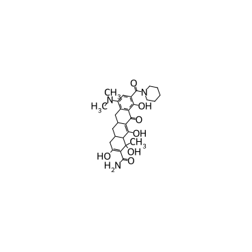 CN(C)c1cc(C(=O)N2CCCCC2)c(O)c2c1CC1CC3CC(O)=C(C(N)=O)C(C)(O)C3C(O)=C1C2=O